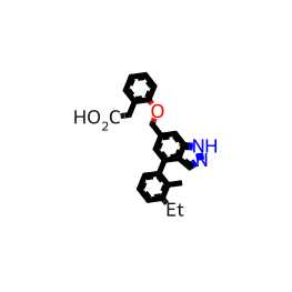 CCc1cccc(-c2cc(COc3ccccc3CC(=O)O)cc3[nH]ncc23)c1C